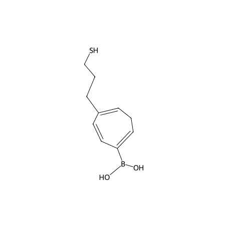 OB(O)C1=CCC=C(CCCS)C=C1